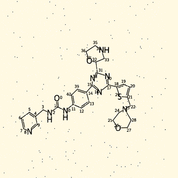 O=C(NCc1cccnc1)Nc1ccc(-c2nc(-c3ccc(CN4CCOCC4)s3)nc(C3CNCCO3)n2)cc1